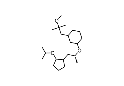 COC(C)(C)CC1CCCC(O[C@@H](C)CC2CCCC2OC(C)C)C1